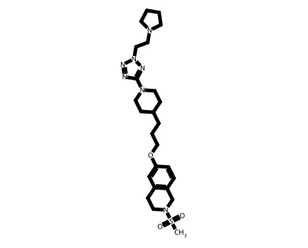 CS(=O)(=O)N1CCc2cc(OCCCC3CCN(c4nnn(CCN5CCCC5)n4)CC3)ccc2C1